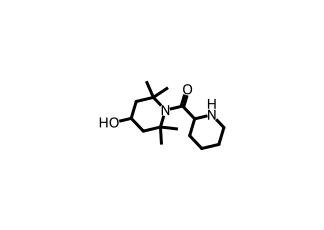 CC1(C)CC(O)CC(C)(C)N1C(=O)C1CCCCN1